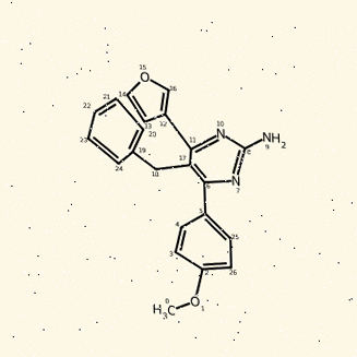 COc1ccc(-c2nc(N)nc(-c3ccoc3)c2Cc2ccccc2)cc1